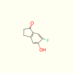 O=C1CCc2cc(O)c(F)cc21